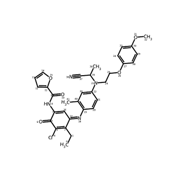 CCC1=C(Cl)C(=O)C(NC(=O)c2ccco2)=C/C1=N\c1ccc(N(CCOc2ccc(OC)cc2)C(C)C#N)cc1C